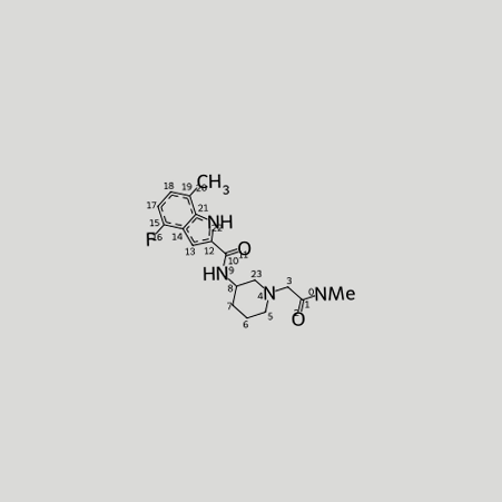 CNC(=O)CN1CCCC(NC(=O)c2cc3c(F)ccc(C)c3[nH]2)C1